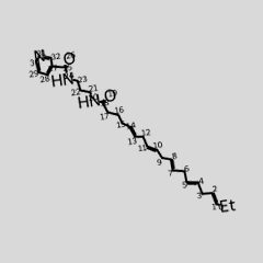 CCC=CCC=CCC=CCC=CCC=CCCCC(=O)NCCCNC(=O)c1cccnc1